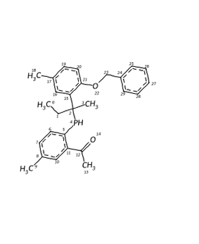 CCC(C)(Pc1ccc(C)cc1C(C)=O)c1cc(C)ccc1OCc1ccccc1